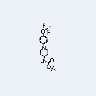 CN(C(=O)OC(C)(C)C)C1CCN(c2ccc(OC(F)(F)F)cc2)CC1